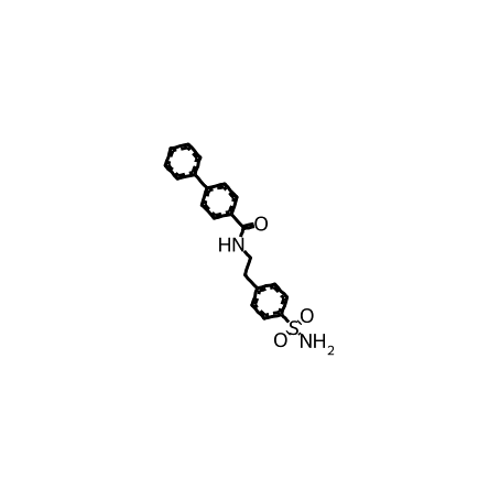 NS(=O)(=O)c1ccc(CCNC(=O)c2ccc(-c3ccccc3)cc2)cc1